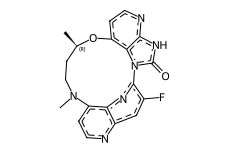 C[C@@H]1CCN(C)c2ccnc3cc(F)c(nc23)-n2c(=O)[nH]c3nccc(c32)O1